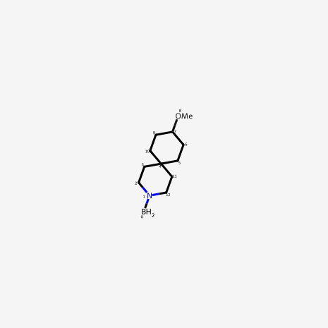 BN1CCC2(CCC(OC)CC2)CC1